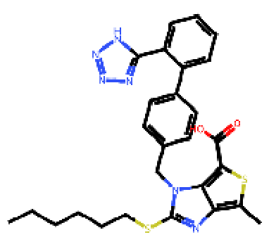 CCCCCCSc1nc2c(C)sc(C(=O)O)c2n1Cc1ccc(-c2ccccc2-c2nnn[nH]2)cc1